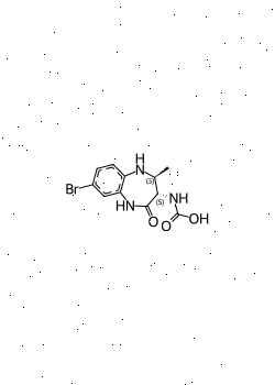 C[C@@H]1Nc2ccc(Br)cc2NC(=O)[C@H]1NC(=O)O